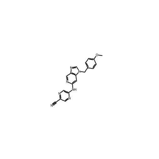 COc1ccc(Cn2cnc3cnc(Nc4cnc(C#N)cn4)cc32)cc1